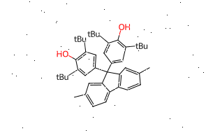 Cc1ccc2c(c1)C(c1cc(C(C)(C)C)c(O)c(C(C)(C)C)c1)(c1cc(C(C)(C)C)c(O)c(C(C)(C)C)c1)c1cc(C)ccc1-2